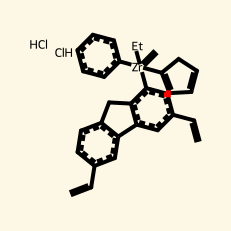 C=Cc1ccc2c(c1)-c1cc(C=C)c[c]([Zr](=[CH2])([CH2]C)([C]3=CC=CC3)[c]3ccccc3)c1C2.Cl.Cl